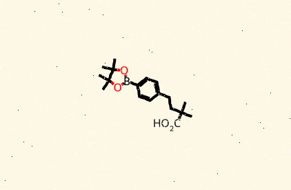 CC(C)(CCc1ccc(B2OC(C)(C)C(C)(C)O2)cc1)C(=O)O